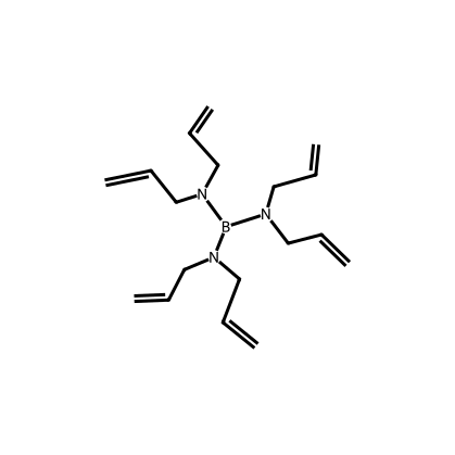 C=CCN(CC=C)B(N(CC=C)CC=C)N(CC=C)CC=C